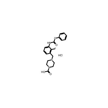 Cl.O=C(Nc1cccc(CN2CCN(C(=O)O)CC2)c1F)Oc1ccccc1